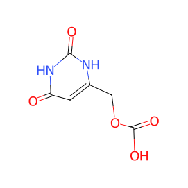 O=C(O)OCc1cc(=O)[nH]c(=O)[nH]1